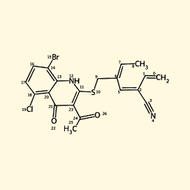 C=C/C(C#N)=C\C(=C/C)CSc1[nH]c2c(Br)ccc(Cl)c2c(=O)c1C(C)=O